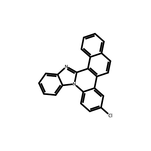 Clc1ccc2c(c1)c1ccc3ccccc3c1c1nc3ccccc3n21